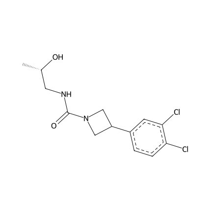 C[C@H](O)CNC(=O)N1CC(c2ccc(Cl)c(Cl)c2)C1